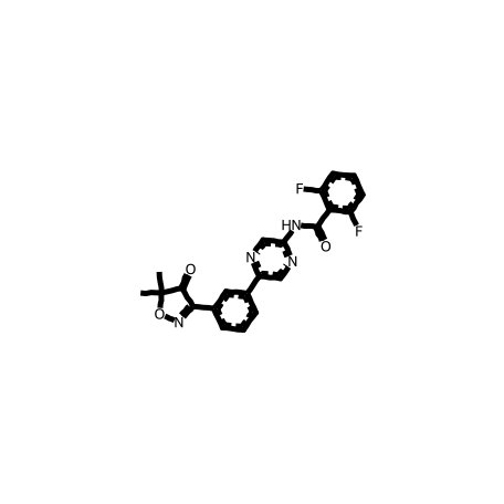 CC1(C)ON=C(c2cccc(-c3cnc(NC(=O)c4c(F)cccc4F)cn3)c2)C1=O